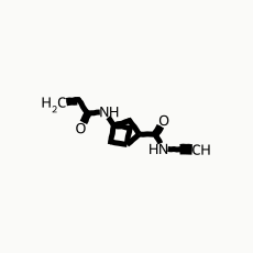 C#CNC(=O)C1CC2(NC(=O)C=C)CC1C2